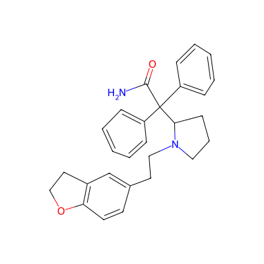 NC(=O)C(c1ccccc1)(c1ccccc1)C1CCCN1CCc1ccc2c(c1)CCO2